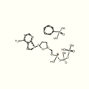 Nc1ncnc2c1ncn2[C@H]1CC[C@@H](COP(=O)(O)OP(=O)(O)OP(=O)(O)O)O1.O=P(O)(O)c1ccccc1